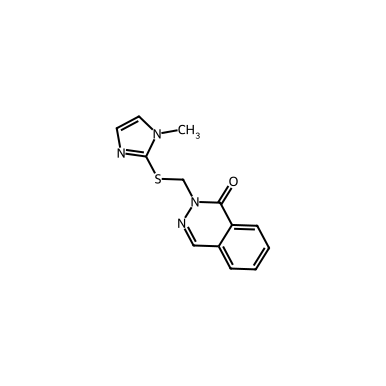 Cn1ccnc1SCn1ncc2ccccc2c1=O